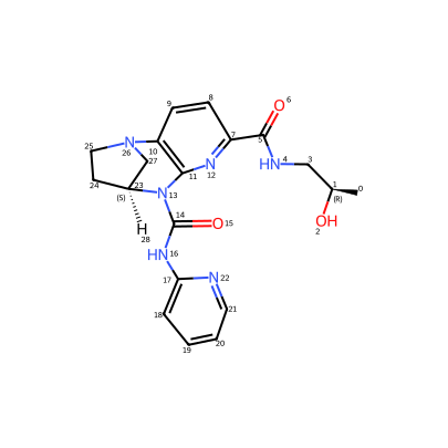 C[C@@H](O)CNC(=O)c1ccc2c(n1)N(C(=O)Nc1ccccn1)[C@H]1CCN2C1